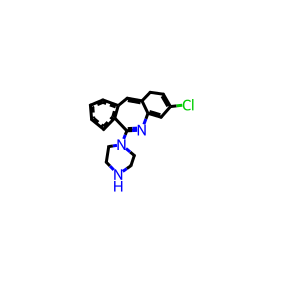 ClC1=CCC2=Cc3ccccc3C(N3CCNCC3)=NC2=C1